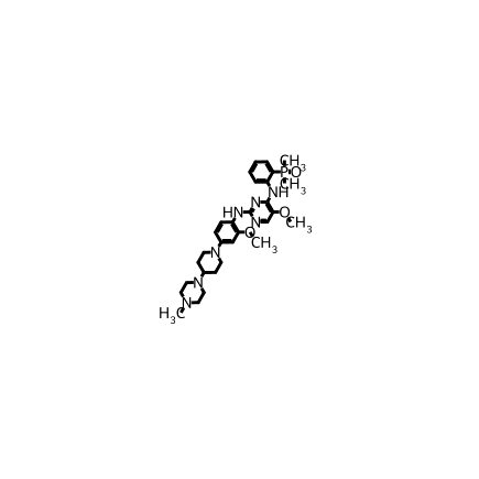 COc1cc(N2CCC(N3CCN(C)CC3)CC2)ccc1Nc1ncc(OC)c(Nc2ccccc2P(C)(C)=O)n1